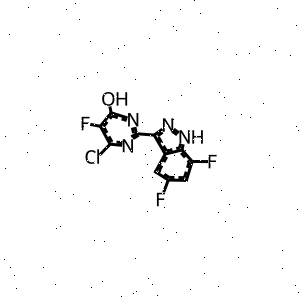 Oc1nc(-c2n[nH]c3c(F)cc(F)cc23)nc(Cl)c1F